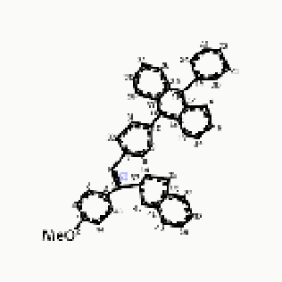 COc1ccc(/C(=C/c2ccc(-c3c4ccccc4c(-c4ccccc4)c4ccccc34)cc2)c2ccc3ccccc3c2)cc1